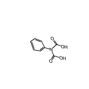 O=C(O)N(C(=O)O)c1ccccc1